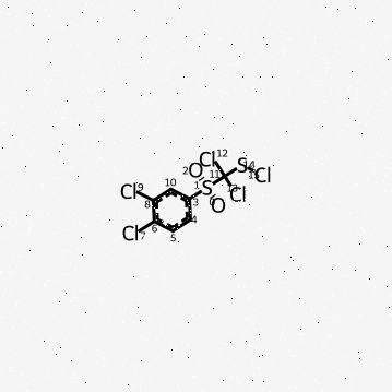 O=S(=O)(c1ccc(Cl)c(Cl)c1)C(Cl)(Cl)SCl